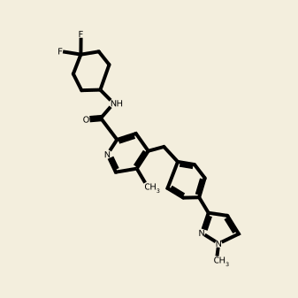 Cc1cnc(C(=O)NC2CCC(F)(F)CC2)cc1Cc1ccc(-c2ccn(C)n2)cc1